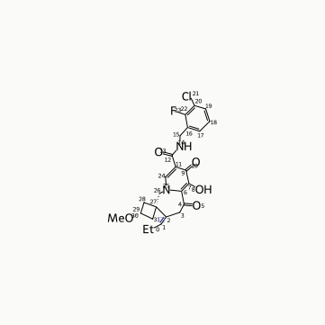 CC/C=C1/CC(=O)c2c(O)c(=O)c(C(=O)NCc3cccc(Cl)c3F)cn2C[C@]12C[C@@H](OC)C2